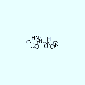 O=C(CCN1CCNCC1c1cccc2c1Cc1ccccc1CC2)Nc1cccc2ncccc12